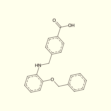 O=C(O)c1ccc(CNc2ccccc2OCc2ccccc2)cc1